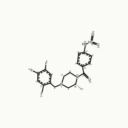 C[C@@H]1CN(Cc2cc(F)c(F)cc2F)CCN1C(=O)c1ccc(N[SH](=O)=O)cc1